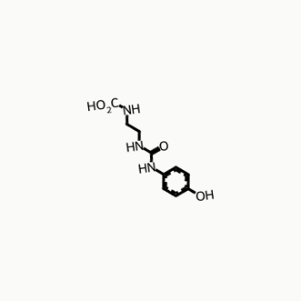 O=C(O)NCCNC(=O)Nc1ccc(O)cc1